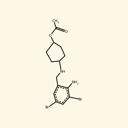 CC(=O)OC1CCC(NCc2cc(Br)cc(Br)c2N)CC1